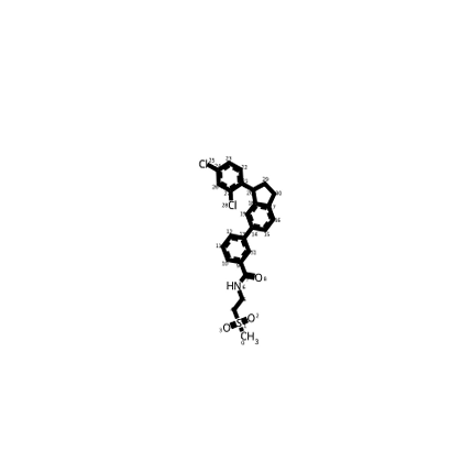 CS(=O)(=O)CCNC(=O)c1cccc(-c2ccc3c(c2)C(c2ccc(Cl)cc2Cl)CC3)c1